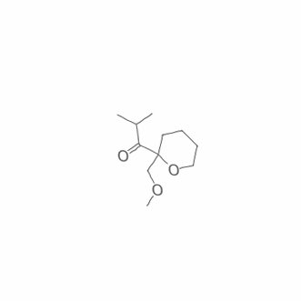 COCC1(C(=O)C(C)C)CCCCO1